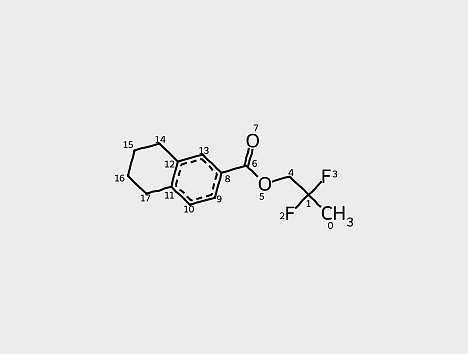 CC(F)(F)COC(=O)c1ccc2c(c1)CCCC2